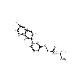 CC(C)NC(=O)COc1cccc(-c2ncc3cc(Br)ccc3n2)c1